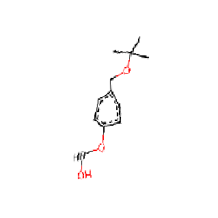 CC(C)(C)OCc1ccc(OBO)cc1